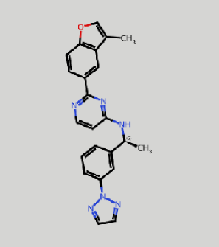 Cc1coc2ccc(-c3nccc(N[C@@H](C)c4cccc(-n5nccn5)c4)n3)cc12